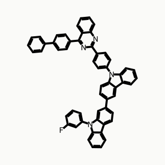 Fc1cccc(-n2c3ccccc3c3ccc(-c4ccc5c(c4)c4ccccc4n5-c4ccc(-c5nc(-c6ccc(-c7ccccc7)cc6)c6ccccc6n5)cc4)cc32)c1